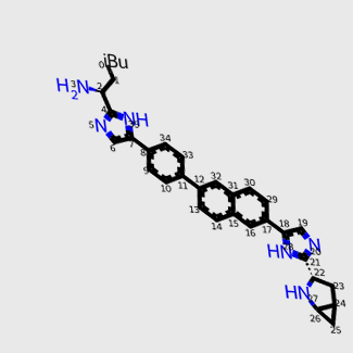 CCC(C)C[C@H](N)c1ncc(-c2ccc(-c3ccc4cc(-c5cnc([C@@H]6CC7CC7N6)[nH]5)ccc4c3)cc2)[nH]1